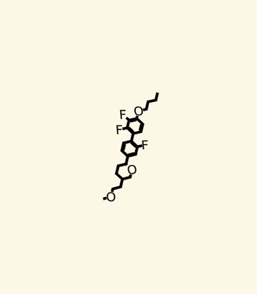 CCCCOc1ccc(-c2ccc(C3CCC(CCOC)CO3)cc2F)c(F)c1F